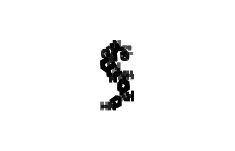 C[S+]([O-])c1ncoc1Cn1c(=O)ccc2cnc(Nc3ccc(NC4CCNCC4)cc3)nc21